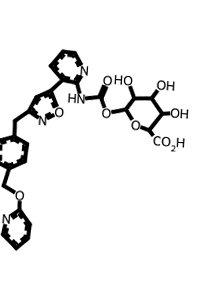 O=C(Nc1ncccc1-c1cc(Cc2ccc(COc3ccccn3)cc2)no1)OC1OC(C(=O)O)C(O)C(O)C1O